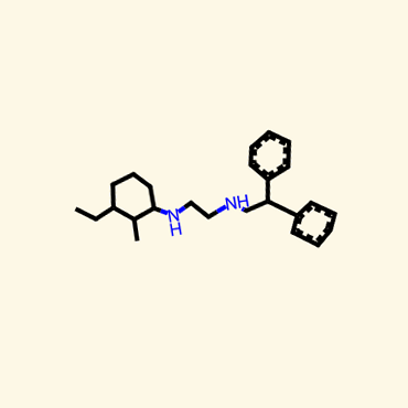 CCC1CCCC(NCCNCC(c2ccccc2)c2ccccc2)C1C